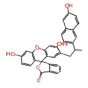 CC(Cc1cc2c(cc1O)Oc1cc(O)ccc1C21OC(=O)c2ccccc21)c1ccc2cc(O)ccc2c1